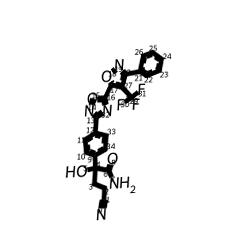 N#CCCC(O)(C(N)=O)c1ccc(-c2noc(-c3onc(-c4ccccc4)c3C(F)(F)F)n2)cc1